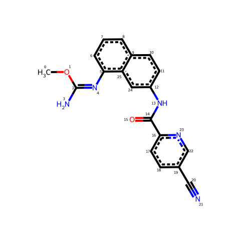 CO/C(N)=N\c1cccc2ccc(NC(=O)c3ccc(C#N)cn3)cc12